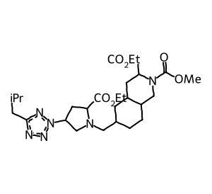 CCOC(=O)C1CC(n2nnc(CC(C)C)n2)CN1CC1CCC2CN(C(=O)OC)C(C(=O)OCC)CC2C1